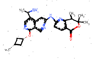 CC(N)c1cnc(O[C@H]2C[C@@H](C)C2)c2cnc(Nc3ccc4c(n3)C(C)C(C)(C)OC4=O)cc12